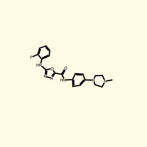 CN1CCN(c2ccc(NC(=O)c3nnc(Nc4ccccc4F)o3)cc2)CC1